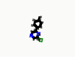 Cc1ccc(-c2cncc(Cl)n2)cc1